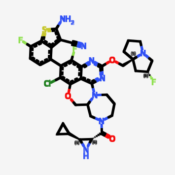 N#Cc1c(N)sc2c(F)ccc(-c3c(Cl)c4c5c(nc(OC[C@@]67CCCN6C[C@H](F)C7)nc5c3F)N3CCCN(C(=O)[C@@H]5N[C@H]5C5CC5)CC3CO4)c12